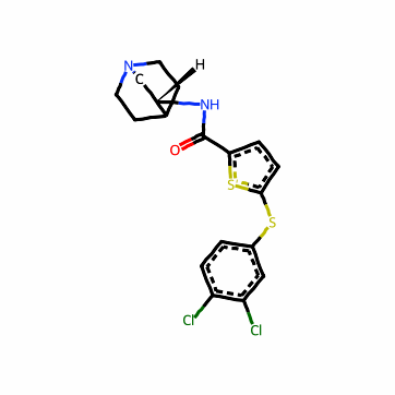 O=C(N[C@H]1CN2CCC1CC2)c1ccc(Sc2ccc(Cl)c(Cl)c2)s1